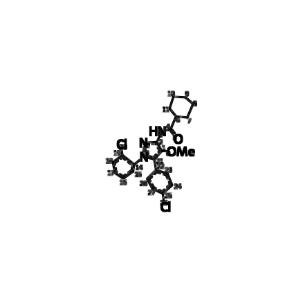 COc1c(NC(=O)C2CCCCC2)nn(-c2ccccc2Cl)c1-c1ccc(Cl)cc1